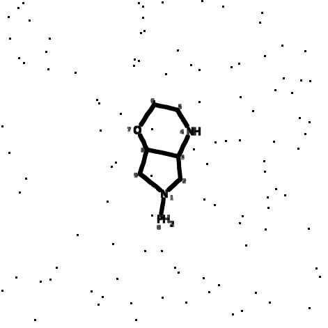 PN1CC2NCCOC2C1